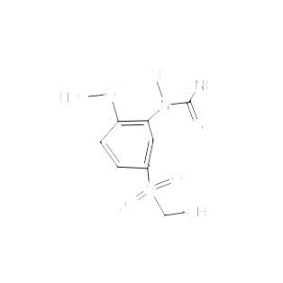 CCS(=O)(=O)c1ccc(OC)c(N(S)C(N)=O)c1